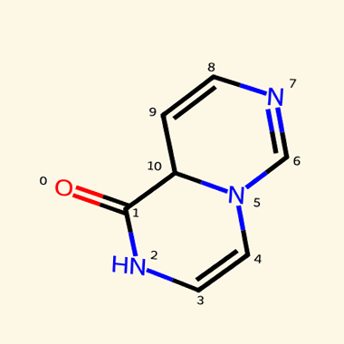 O=C1NC=CN2C=NC=CC12